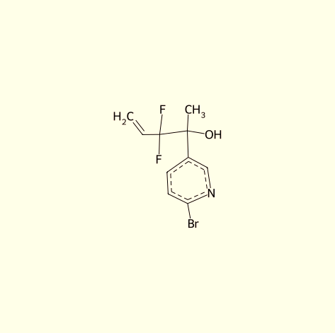 C=CC(F)(F)C(C)(O)c1ccc(Br)nc1